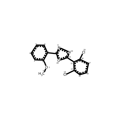 COc1ccccc1-c1nnc(-c2c(Cl)cccc2Cl)o1